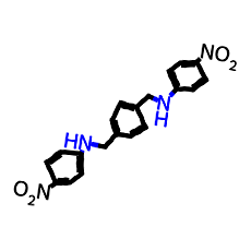 O=[N+]([O-])c1ccc(NCc2ccc(CNc3ccc([N+](=O)[O-])cc3)cc2)cc1